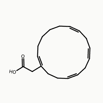 O=C(O)CC1=CCCCCC=CCC=CCC=CCC1